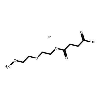 COCCOCCOC(=O)CCC(=O)O.[Zn]